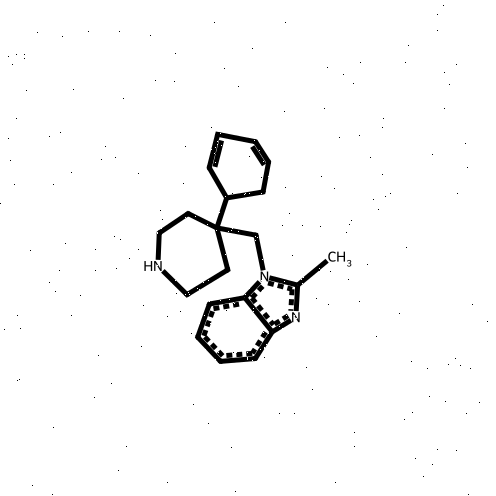 Cc1nc2ccccc2n1CC1(C2C=CC=CC2)CCNCC1